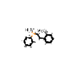 BP(CCc1ccccc1OC)c1ccccc1